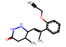 C#CCOc1ccccc1/C(C)=C/C1NNC(=O)CC1C